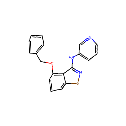 c1ccc(COc2cccc3snc(Nc4cccnc4)c23)cc1